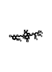 CC(C)CC([SiH3])OCn1cc(C(F)(F)F)c2c(NCCCOc3nc(Cl)ccc3N)nc(Cl)nc21